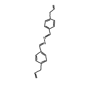 C=CCc1ccc(C=NN=Cc2ccc(CC=C)cc2)cc1